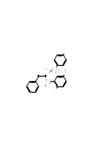 CN(C(=NNc1ccc(Cl)cc1)C(=O)c1ccccc1)c1cc(F)ccc1F